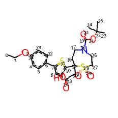 CCOc1ccc(-c2ccc(C3(CC(=O)O)CCN(C(=O)OC(C)(C)C)CCS3(=O)=O)s2)cc1